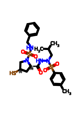 Cc1ccc(S(=O)(=O)N(CC(C)C)NC(=O)[C@@H]2C[C@@H](S)CN2S(=O)(=O)NCc2ccccc2)cc1